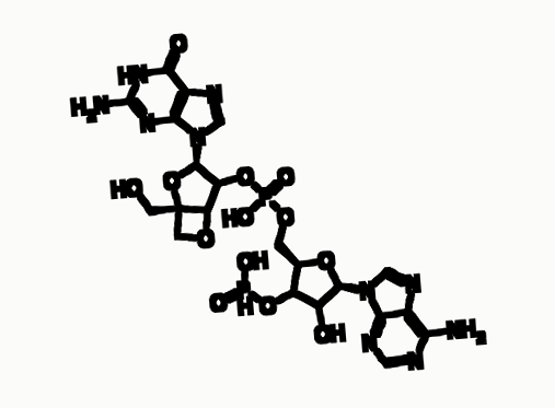 Nc1nc2c(ncn2[C@@H]2O[C@@]3(CO)COC3C2OP(=O)(O)OC[C@H]2O[C@@H](n3cnc4c(N)ncnc43)C(O)C2O[PH](=O)O)c(=O)[nH]1